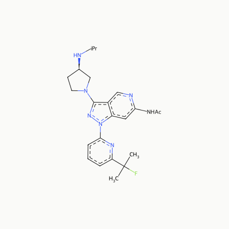 CC(=O)Nc1cc2c(cn1)c(N1CC[C@@H](NC(C)C)C1)nn2-c1cccc(C(C)(C)F)n1